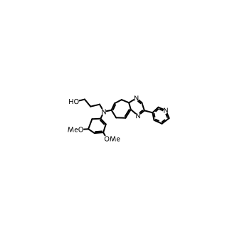 COC1=CC(OC)CC(N(CCCO)C2=CCC3N=CC(c4cccnc4)=NC3=CC2)=C1